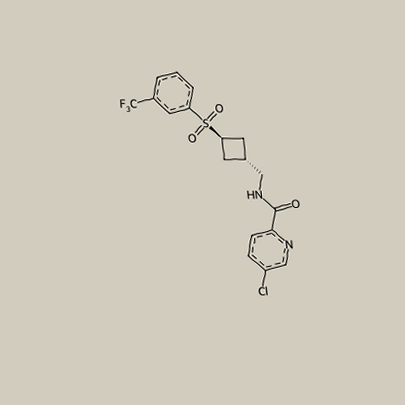 O=C(NC[C@H]1C[C@H](S(=O)(=O)c2cccc(C(F)(F)F)c2)C1)c1ccc(Cl)cn1